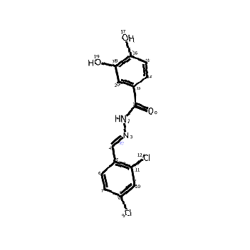 O=C(N/N=C/c1ccc(Cl)cc1Cl)c1ccc(O)c(O)c1